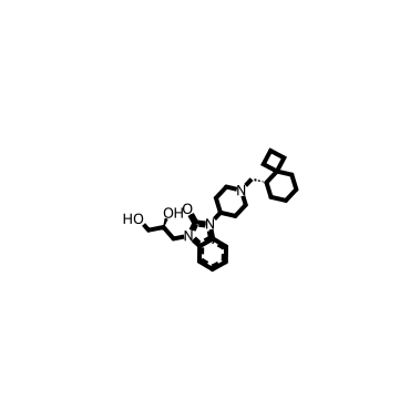 O=c1n(C[C@H](O)CO)c2ccccc2n1C1CCN(C[C@H]2CCCCC23CCC3)CC1